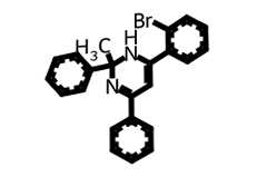 CC1(c2ccccc2)N=C(c2ccccc2)C=C(c2ccccc2Br)N1